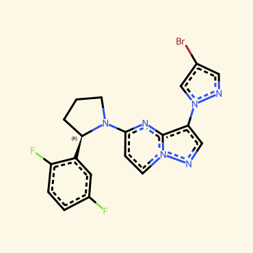 Fc1ccc(F)c([C@H]2CCCN2c2ccn3ncc(-n4cc(Br)cn4)c3n2)c1